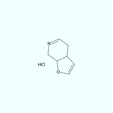 C1=CC2CC=NCC2O1.Cl